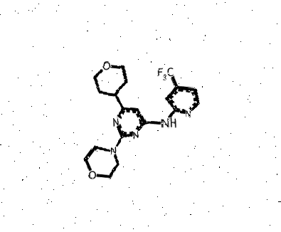 FC(F)(F)c1ccnc(Nc2cc(C3CCOCC3)nc(N3CCOCC3)n2)c1